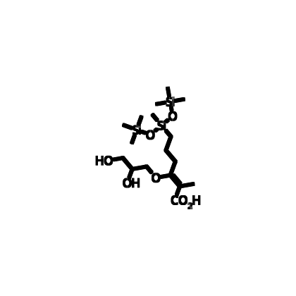 CC(C(=O)O)=C(CCC[Si](C)(O[Si](C)(C)C)O[Si](C)(C)C)OCC(O)CO